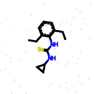 CCc1cccc(CC)c1NC(=S)NC1CC1